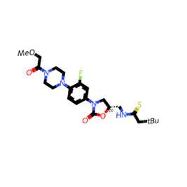 COCC(=O)N1CCN(c2ccc(N3C[C@H](CNC(=S)CC(C)(C)C)OC3=O)cc2F)CC1